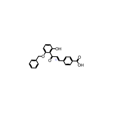 O=C(O)c1ccc(/C=C/C(=O)c2c(O)cccc2OCc2ccccc2)cc1